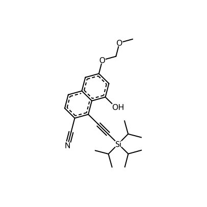 COCOc1cc(O)c2c(C#C[Si](C(C)C)(C(C)C)C(C)C)c(C#N)ccc2c1